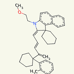 C=C(/C=C/C=C1/N(CCOC)c2ccc3ccccc3c2C12CCCCC2)C1(c2ccccc2C)CCCCC1